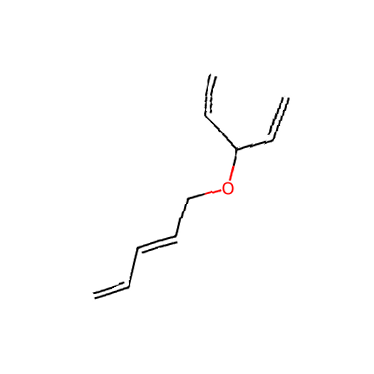 C=C/C=C/COC(C=C)C=C